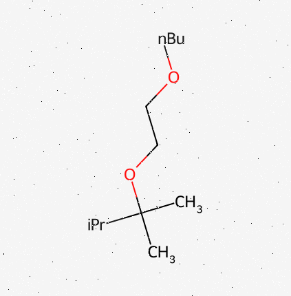 CCCCOCCOC(C)(C)C(C)C